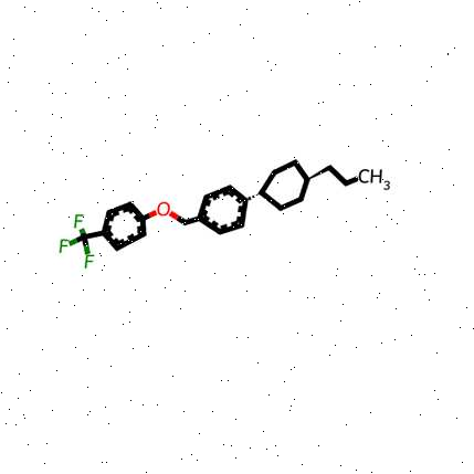 CCC[C@H]1CC[C@H](c2ccc(COc3ccc(C(F)(F)F)cc3)cc2)CC1